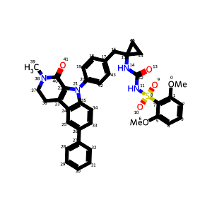 COc1cccc(OC)c1S(=O)(=O)NC(=O)NC1(Cc2ccc(-n3c4c(c5cc(-c6ccccc6)ccc53)CCN(C)C4=O)cc2)CC1